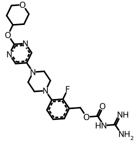 N=C(N)NC(=O)OCc1cccc(N2CCN(c3cnc(OC4CCOCC4)nc3)CC2)c1F